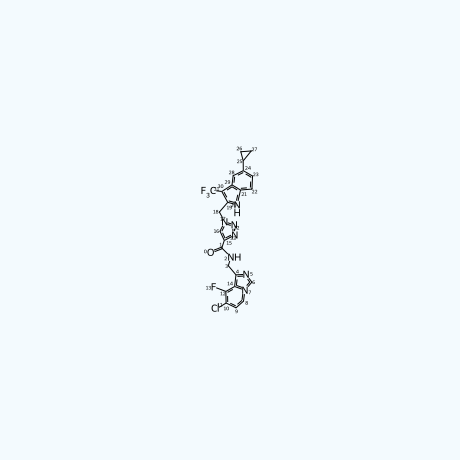 O=C(NCc1ncn2ccc(Cl)c(F)c12)c1cn(Cc2[nH]c3ccc(C4CC4)cc3c2C(F)(F)F)nn1